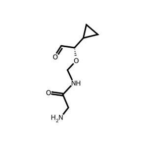 NCC(=O)NCO[C@H](C=O)C1CC1